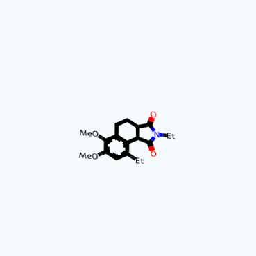 CCc1cc(OC)c(OC)c2c1C1C(=O)N(CC)C(=O)C1CC2